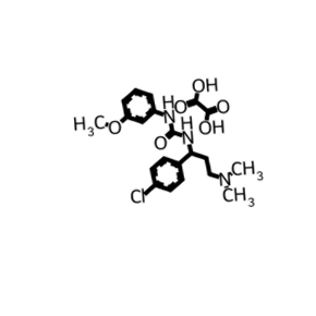 COc1cccc(NC(=O)NC(CCN(C)C)c2ccc(Cl)cc2)c1.O=C(O)C(=O)O